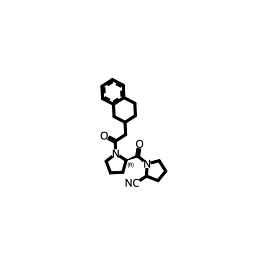 N#CC1CCCN1C(=O)[C@H]1CCCN1C(=O)CC1CCc2ccccc2C1